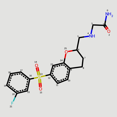 NC(=O)CNCC1CCc2ccc(S(=O)(=O)c3cccc(F)c3)cc2O1